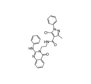 Cc1nn(-c2ccccc2)c(Cl)c1C(=O)NCCn1c(Nc2ccccc2)nc2ccccc2c1=O